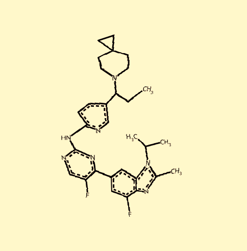 CCC(c1ccc(Nc2ncc(F)c(-c3cc(F)c4nc(C)n(C(C)C)c4c3)n2)nc1)N1CCC2(CC1)CC2